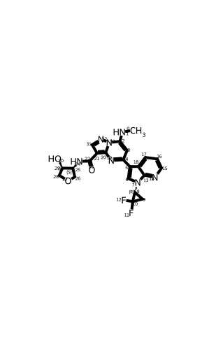 CNc1cc(-c2cn([C@@H]3CC3(F)F)c3ncccc23)nc2c(C(=O)N[C@H]3COC[C@H]3O)cnn12